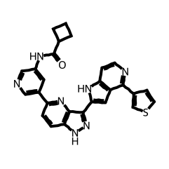 O=C(Nc1cncc(-c2ccc3[nH]nc(-c4cc5c(-c6ccsc6)nccc5[nH]4)c3n2)c1)C1CCC1